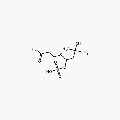 CC(C)(C)SC(OS(=O)(=O)O)SCCC(=O)O